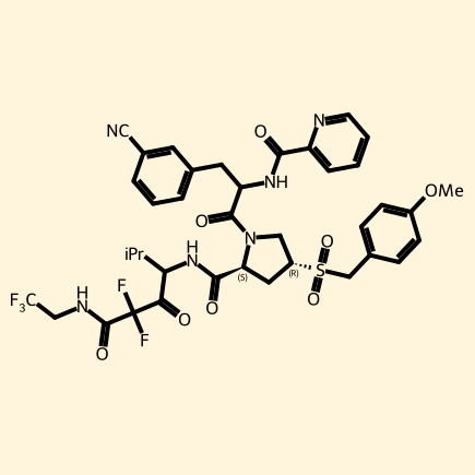 COc1ccc(CS(=O)(=O)[C@@H]2C[C@@H](C(=O)NC(C(=O)C(F)(F)C(=O)NCC(F)(F)F)C(C)C)N(C(=O)C(Cc3cccc(C#N)c3)NC(=O)c3ccccn3)C2)cc1